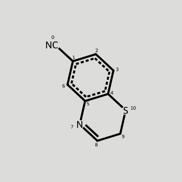 N#Cc1ccc2c(c1)N=CCS2